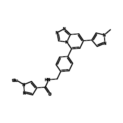 Cn1cc(-c2cc(-c3ccc(CNC(=O)c4cnn(C(C)(C)C)c4)cc3)n3cnnc3c2)cn1